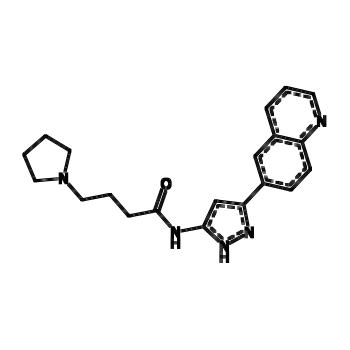 O=C(CCCN1CCCC1)Nc1cc(-c2ccc3ncccc3c2)n[nH]1